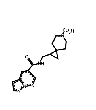 O=C(NCC1CC12CCN(C(=O)O)CC2)c1cnn2nccc2c1